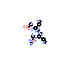 CN1CC(NC(=O)c2ccncc2Nc2cc(-c3ccc4ccn(C)c4c3)c3nccnc3c2)C1.Cn1ccc2ccc(-c3cc(Nc4cnccc4C(=O)O)cc4nccnc34)cc21